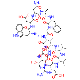 CC(C)[C@H](NC(=O)[C@H](CCC(=O)O)NC(=O)[C@@H](NC(=O)CNC(=O)CNC(=O)CNC(=O)[C@H](Cc1ccccc1)NC(=O)[C@H](C)NC(=O)[C@H](CC(N)=O)NC(=O)[C@H](CC(=O)O)NC(=O)[C@@H](N)Cc1c[nH]c2ccccc12)[C@@H](C)O)C(=O)N[C@H](C(=O)N[C@H](C(=O)N[C@@H](CCCNC(=N)N)C(=O)O)C(C)C)C(C)C